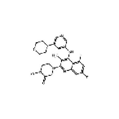 Cc1c(N2CCN(C(C)C)C(=O)C2)nc2cc(F)cc(F)c2c1Nc1cncc(N2CCOCC2)c1